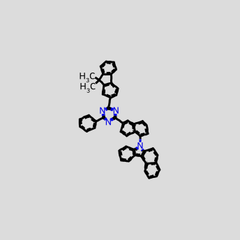 CC1(C)c2ccccc2-c2ccc(-c3nc(-c4ccccc4)nc(-c4ccc5c(-n6c7ccccc7c7c8ccccc8ccc76)cccc5c4)n3)cc21